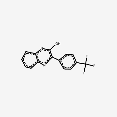 Oc1nc2ccc[c]c2nc1-c1ccc(C(F)(F)F)cc1